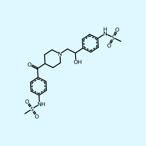 CS(=O)(=O)Nc1ccc(C(=O)C2CCN(CC(O)c3ccc(NS(C)(=O)=O)cc3)CC2)cc1